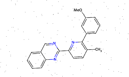 COc1cccc(-c2nc(-c3ncc4ccccc4n3)ccc2C)c1